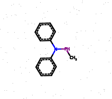 CPN(c1ccccc1)c1ccccc1